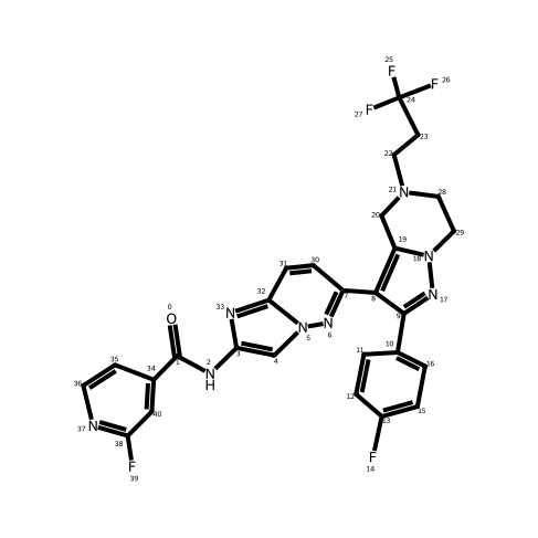 O=C(Nc1cn2nc(-c3c(-c4ccc(F)cc4)nn4c3CN(CCC(F)(F)F)CC4)ccc2n1)c1ccnc(F)c1